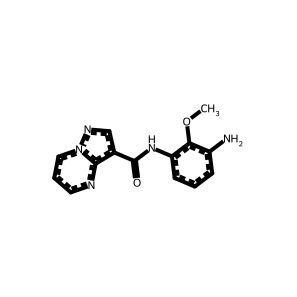 COc1c(N)cccc1NC(=O)c1cnn2cccnc12